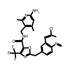 C=Nc1ccc(Cc2nc(C(F)(F)F)c(C(=O)NCc3c(C)cc(N)nc3C)o2)cc1/C=C(\C)Cl